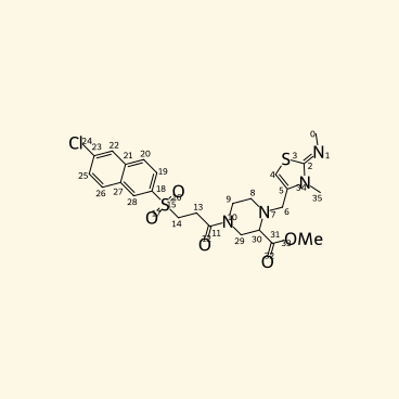 CN=c1scc(CN2CCN(C(=O)CCS(=O)(=O)c3ccc4cc(Cl)ccc4c3)CC2C(=O)OC)n1C